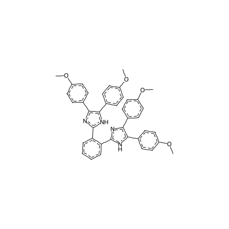 COc1ccc(-c2nc(-c3ccccc3-c3nc(-c4ccc(OC)cc4)c(-c4ccc(OC)cc4)[nH]3)[nH]c2-c2ccc(OC)cc2)cc1